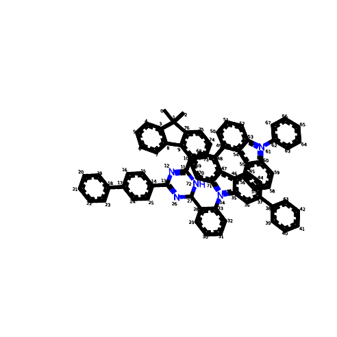 CC1(C)c2ccccc2-c2c(C3=NC(c4ccc(-c5ccccc5)cc4)=NC(c4ccccc4-n4c5cc(-c6ccccc6)ccc5c5c(-c6cccc7c6c6ccccc6n7-c6ccccc6)cccc54)N3)cccc21